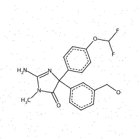 CN1C(=O)C(c2ccc(OC(F)F)cc2)(c2cccc(C[O])c2)N=C1N